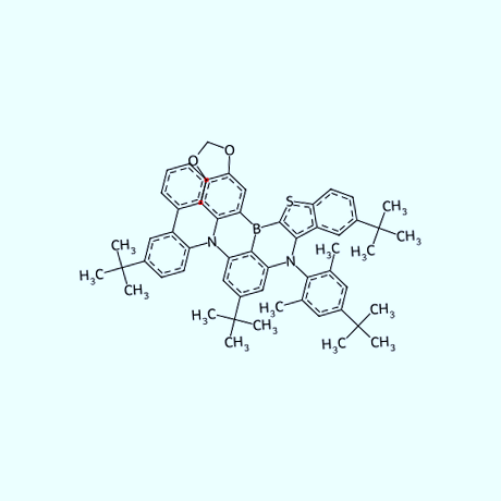 Cc1cc(C(C)(C)C)cc(C)c1N1c2cc(C(C)(C)C)cc3c2B(c2cc4c(cc2N3c2ccc(C(C)(C)C)cc2-c2ccccc2)OCO4)c2sc3ccc(C(C)(C)C)cc3c21